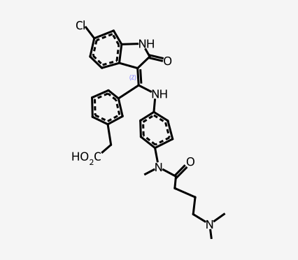 CN(C)CCCC(=O)N(C)c1ccc(N/C(=C2\C(=O)Nc3cc(Cl)ccc32)c2cccc(CC(=O)O)c2)cc1